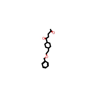 CC(=O)CCC(=O)C1CCC(CCOCc2ccccc2)CC1